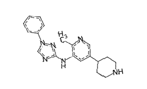 Cc1ncc(C2CCNCC2)cc1Nc1ncn(-c2ccccc2)n1